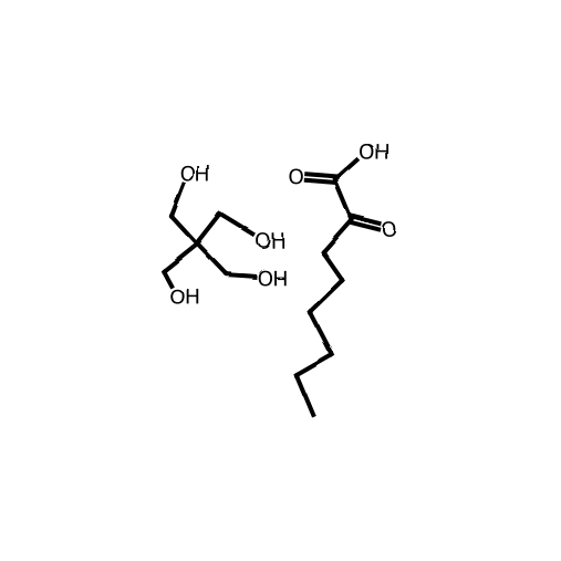 CCCCCCC(=O)C(=O)O.OCC(CO)(CO)CO